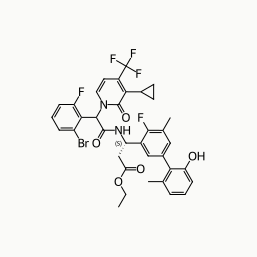 CCOC(=O)C[C@H](NC(=O)C(c1c(F)cccc1Br)n1ccc(C(F)(F)F)c(C2CC2)c1=O)c1cc(-c2c(C)cccc2O)cc(C)c1F